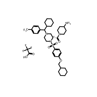 NC1CCN(C(=O)[C@H]2CN(C(c3ccc(C(F)(F)F)cc3)C3CCCCC3)CCN2S(=O)(=O)c2ccc(OCC3CCCCC3)cc2)CC1.O=C(O)C(F)(F)F